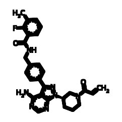 C=CC(=O)N1CCC[C@@H](n2nc(-c3ccc(CNC(=O)c4cccc(C)c4F)cc3)c3c(N)ncnc32)C1